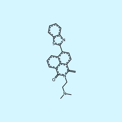 C=c1c2ccc(-c3nc4ccccc4s3)c3cccc(c(=O)n1CCN(C)C)c32